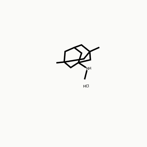 CNC12CC3CC(C)(CC(C)(C3)C1)C2.Cl